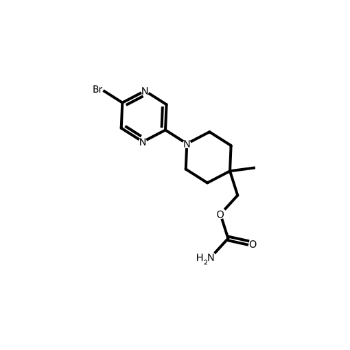 CC1(COC(N)=O)CCN(c2cnc(Br)cn2)CC1